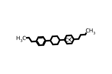 CCCCC12CCC(C3CCC(c4ccc(CCC)cc4)CC3)(CC1)CC2